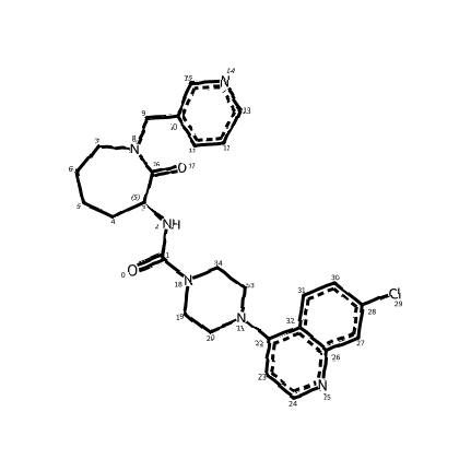 O=C(N[C@H]1CCCCN(Cc2cccnc2)C1=O)N1CCN(c2ccnc3cc(Cl)ccc23)CC1